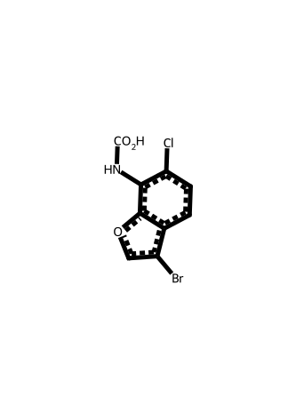 O=C(O)Nc1c(Cl)ccc2c(Br)coc12